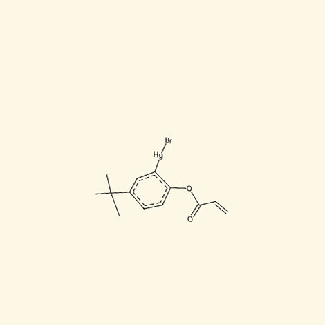 C=CC(=O)Oc1ccc(C(C)(C)C)c[c]1[Hg][Br]